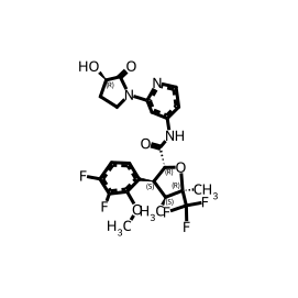 COc1c([C@H]2[C@H](C(=O)Nc3ccnc(N4CC[C@@H](O)C4=O)c3)O[C@@](C)(C(F)(F)F)[C@H]2C)ccc(F)c1F